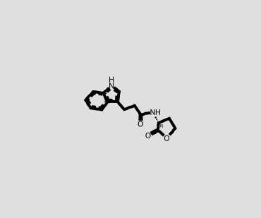 O=C(CCc1c[nH]c2ccccc12)N[C@@H]1CCOC1=O